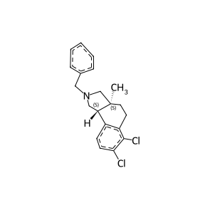 C[C@]12CCc3c(ccc(Cl)c3Cl)[C@@H]1CN(Cc1ccccc1)C2